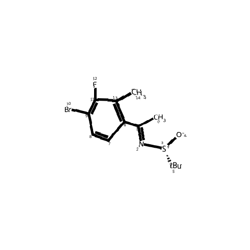 C/C(=N\[S@+]([O-])C(C)(C)C)c1ccc(Br)c(F)c1C